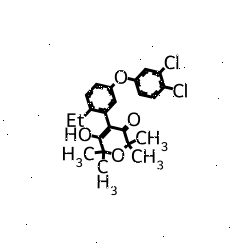 CCc1ccc(Oc2ccc(Cl)c(Cl)c2)cc1C1=C(O)C(C)(C)OC(C)(C)C1=O